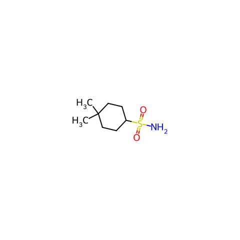 CC1(C)CCC(S(N)(=O)=O)CC1